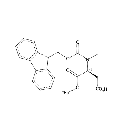 CN(C(=O)OCC1c2ccccc2-c2ccccc21)[C@@H](CC(=O)O)C(=O)OC(C)(C)C